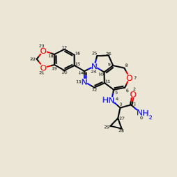 NC(=O)C(NC1=COCC2=C3C1=CN=C(c1ccc4c(c1)OCO4)N3CC2)C1CC1